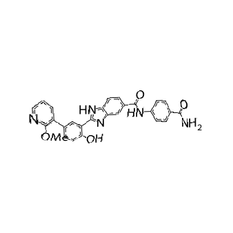 COc1ncccc1-c1ccc(O)c(-c2nc3cc(C(=O)Nc4ccc(C(N)=O)cc4)ccc3[nH]2)c1